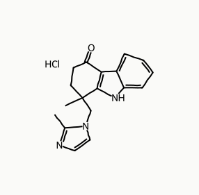 Cc1nccn1CC1(C)CCC(=O)c2c1[nH]c1ccccc21.Cl